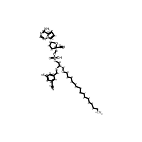 CCCCCCCCCCCCCCCCOC[C@H](COP(=O)(O)OC[C@]1(C#N)CC[C@H](c2ccc3c(N)ncnn23)O1)OCc1cc(F)cc(C#N)c1